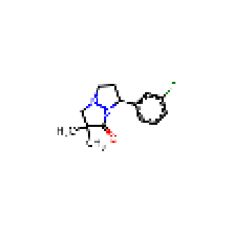 CC1(C)CN2CC[C@@H](c3cccc(F)c3)N2C1=O